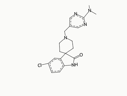 CN(C)c1ncc(CN2CCC3(CC2)C(=O)Nc2ccc(Cl)cc23)cn1